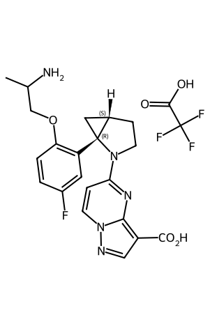 CC(N)COc1ccc(F)cc1[C@@]12C[C@@H]1CCN2c1ccn2ncc(C(=O)O)c2n1.O=C(O)C(F)(F)F